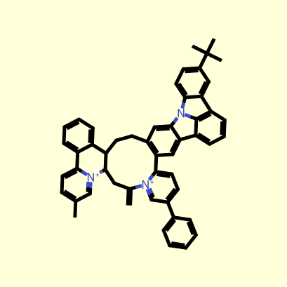 C=C1CC2C(CCc3cc4c(cc3-c3ccc(-c5ccccc5)c[n+]31)c1cccc3c5cc(C(C)(C)C)ccc5n4c31)c1ccccc1-c1ccc(C)c[n+]12